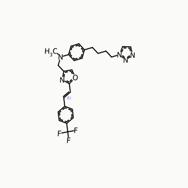 CN(Cc1coc(/C=C/c2ccc(C(F)(F)F)cc2)n1)c1ccc(CCCCn2ccnn2)cc1